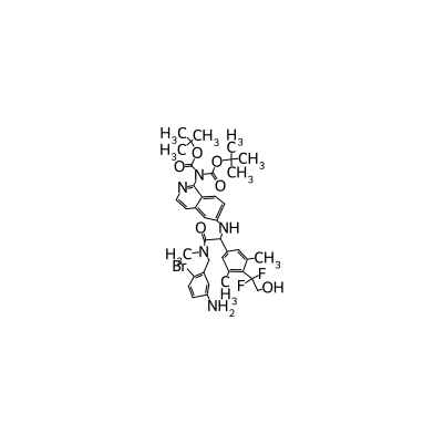 Cc1cc(C(Nc2ccc3c(N(C(=O)OC(C)(C)C)C(=O)OC(C)(C)C)nccc3c2)C(=O)N(C)Cc2cc(N)ccc2Br)cc(C)c1C(F)(F)CO